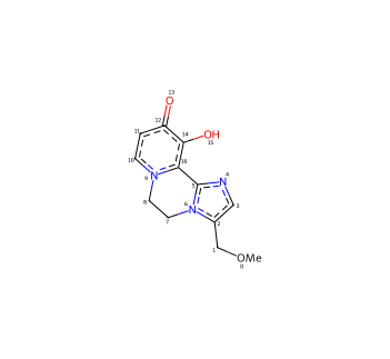 COCc1cnc2n1CCn1ccc(=O)c(O)c1-2